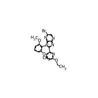 CCOc1cccc(-c2nc3ncc(Br)nc3n2-c2c(OC)cccc2OC)n1